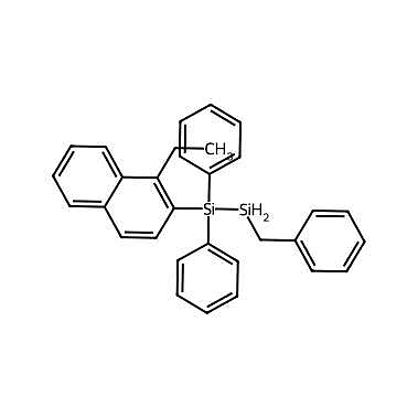 CCc1c([Si]([SiH2]Cc2ccccc2)(c2ccccc2)c2ccccc2)ccc2ccccc12